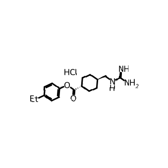 CCc1ccc(OC(=O)[C@H]2CC[C@H](CNC(=N)N)CC2)cc1.Cl